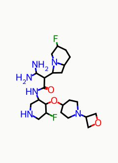 NC(N)C(C(=O)NC1CNCC(F)C1OC1CCN(C2COC2)CC1)C1CC2CCC(F)CN21